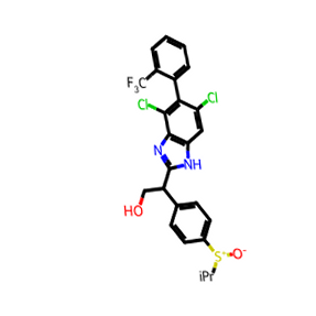 CC(C)[S+]([O-])c1ccc(C(CO)c2nc3c(Cl)c(-c4ccccc4C(F)(F)F)c(Cl)cc3[nH]2)cc1